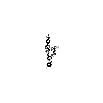 O=C(NCCC1CCN(Cc2ccc(F)cc2)CC1)c1noc(-c2ccc(C(F)(F)F)cc2)n1.O=C(O)/C=C/C(=O)O